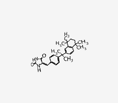 CC1(C)CCC(C)(C)c2cc(C(C)(C)c3ccc(C=C4NC(=O)NC4=O)cc3)ccc21